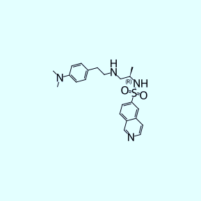 C[C@H](CNCCc1ccc(N(C)C)cc1)NS(=O)(=O)c1ccc2cnccc2c1